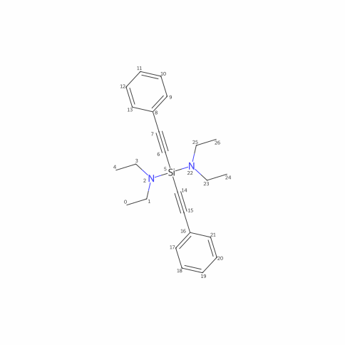 CCN(CC)[Si](C#Cc1ccccc1)(C#Cc1ccccc1)N(CC)CC